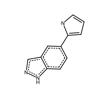 C1=C[N]C(c2ccc3[nH]ncc3c2)=C1